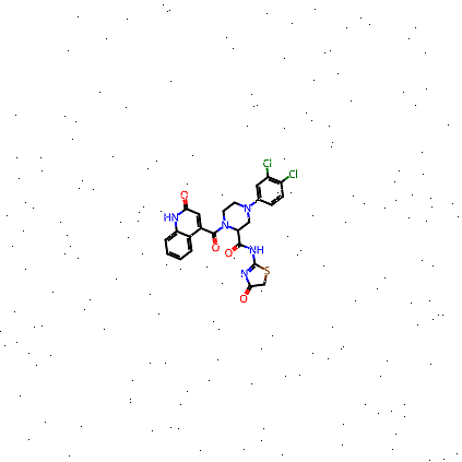 O=C1CSC(NC(=O)C2CN(c3ccc(Cl)c(Cl)c3)CCN2C(=O)c2cc(=O)[nH]c3ccccc23)=N1